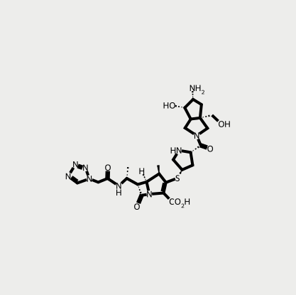 C[C@@H](NC(=O)Cn1cnnn1)[C@H]1C(=O)N2C(C(=O)O)=C(S[C@@H]3CN[C@H](C(=O)N4CC5[C@H](O)[C@H](N)C[C@@]5(CO)C4)C3)[C@H](C)[C@H]12